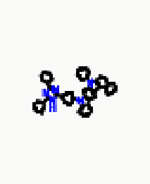 c1ccc(C2=NC(c3ccccc3)NC(c3ccc(-n4c5ccccc5c5cc6c7c8ccccc8ccc7n(-c7ccccc7)c6cc54)cc3)=N2)cc1